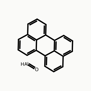 [O]=[AlH].c1cc2cccc3c4cccc5cccc(c(c1)c23)c54